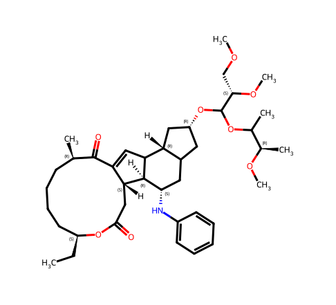 CC[C@H]1CCCC[C@@H](C)C(=O)C2=CC3[C@@H]4C[C@H](OC(OC(C)[C@@H](C)OC)[C@H](COC)OC)CC4C[C@H](Nc4ccccc4)[C@H]3[C@@H]2CC(=O)O1